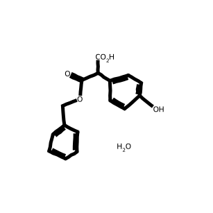 O.O=C(O)C(C(=O)OCc1ccccc1)c1ccc(O)cc1